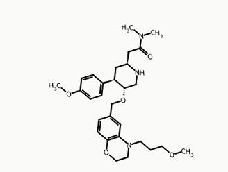 COCCCN1CCOc2ccc(CO[C@H]3CN[C@H](CC(=O)N(C)C)C[C@@H]3c3ccc(OC)cc3)cc21